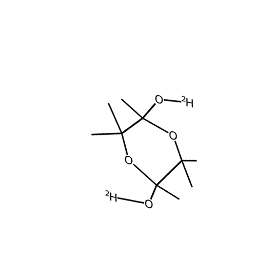 [2H]OC1(C)OC(C)(C)C(C)(O[2H])OC1(C)C